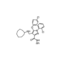 CCCNC(=O)c1nn(-c2ccccc2Cl)c(Oc2ccc(Cl)cc2)c1CNC1CCCCCCC1